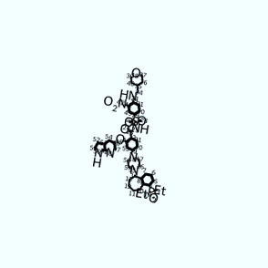 CCP(=O)(CC)c1cccc2c1CCCCC2N1CCN(c2ccc(C(=O)NS(=O)(=O)c3ccc(NCC4CCOCC4)c([N+](=O)[O-])c3)c(Oc3cnc4[nH]ccc4c3)c2)CC1